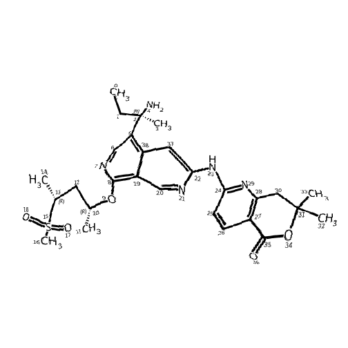 CC[C@@](C)(N)c1cnc(O[C@H](C)C[C@@H](C)S(C)(=O)=O)c2cnc(Nc3ccc4c(n3)CC(C)(C)OC4=O)cc12